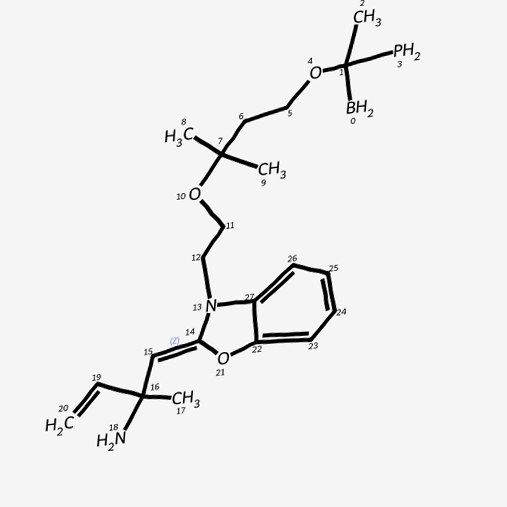 BC(C)(P)OCCC(C)(C)OCCN1/C(=C/C(C)(N)C=C)Oc2ccccc21